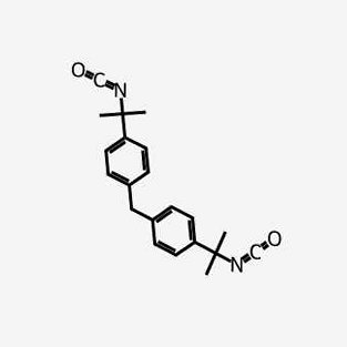 CC(C)(N=C=O)c1ccc(Cc2ccc(C(C)(C)N=C=O)cc2)cc1